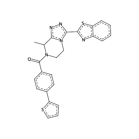 CC1c2nnc(-c3nc4ccccc4s3)n2CCN1C(=O)c1ccc(-c2cccs2)cc1